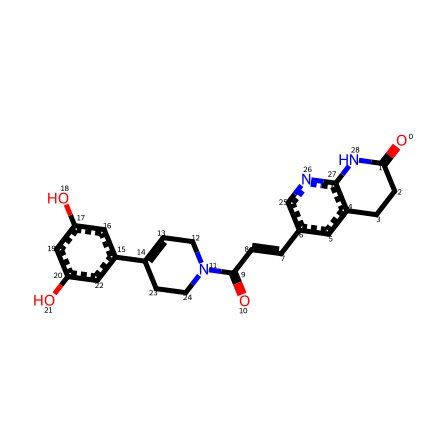 O=C1CCc2cc(C=CC(=O)N3CC=C(c4cc(O)cc(O)c4)CC3)cnc2N1